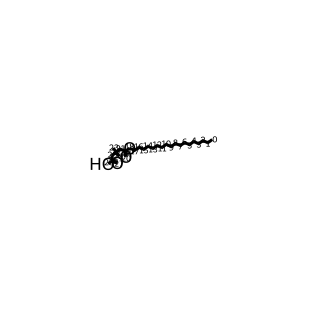 CCCCCCCCCCCCCCCCCCOC(=O)CC(C)(C)CC(=O)O